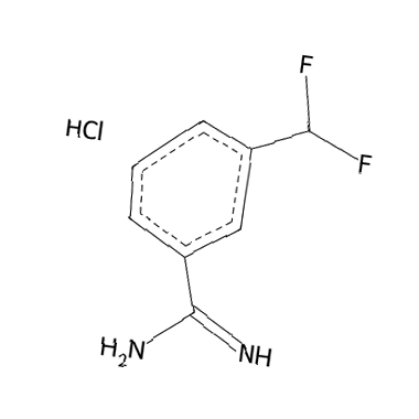 Cl.N=C(N)c1cccc(C(F)F)c1